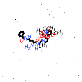 COC1CC(=O)C(C(=O)[C@H]2CCCN2C(=O)[C@H](C)NC(=O)[C@@H](N)CCCCNC(=O)c2ccccc2)(N(C(=O)O)C(C)C)C1=O